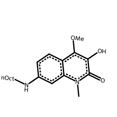 CCCCCCCCNc1ccc2c(OC)c(O)c(=O)n(C)c2c1